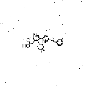 Cc1cccc(COc2ccc(-c3cnc(C)c(CC(=O)O)c3N3CCC(C)(C)CC3)nc2)c1